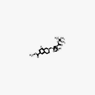 COC(=O)c1cc(F)c2c(c1)CCN(C[C@@]13C[C@@H](CO1)N(C(=O)OC(C)(C)C)C3)C2